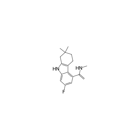 C=C(NC)c1cc(F)cc2[nH]c3c(c12)CCC(C)(C)C3